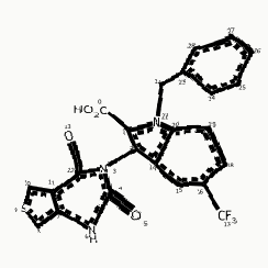 O=C(O)c1c(-n2c(=O)[nH]c3cscc3c2=O)c2cc(C(F)(F)F)ccc2n1Cc1ccccc1